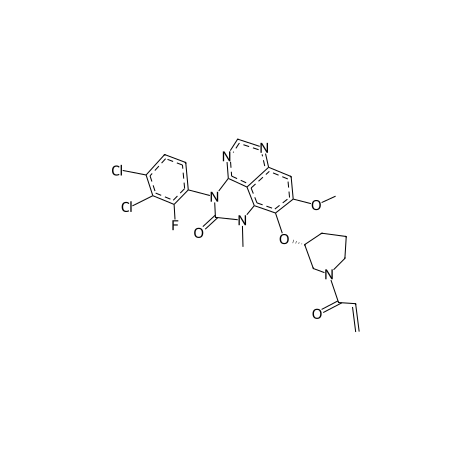 C=CC(=O)N1CCC[C@@H](Oc2c(OC)cc3ncnc4c3c2N(C)C(=O)N4c2ccc(Cl)c(Cl)c2F)C1